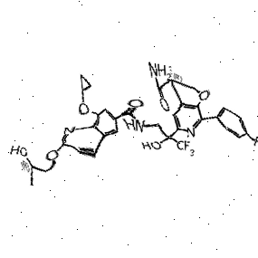 C[C@@H](O)COc1ccc2cc(C(=O)NCC(O)(c3cc4c(c(-c5ccc(F)cc5)n3)OC[C@]4(C)C(N)=O)C(F)(F)F)cc(OC3CC3)c2n1